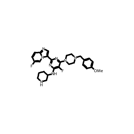 COc1ccc(CN2CCN(c3nc(-c4cnc5ccc(F)cn45)nc(NC4CCCNC4)c3F)CC2)cc1